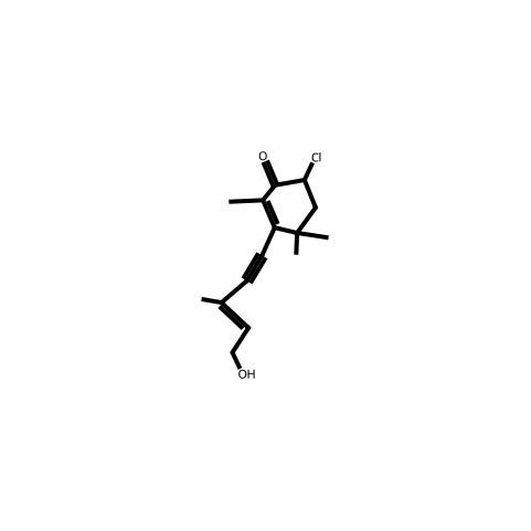 CC(C#CC1=C(C)C(=O)C(Cl)CC1(C)C)=CCO